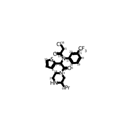 CC(C)C1CN(C(=O)C(c2cccs2)N(C(=O)CCl)c2cccc(C(F)(F)F)c2)CCN1